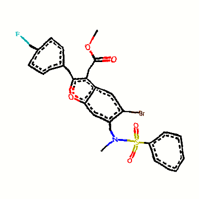 COC(=O)c1c(-c2ccc(F)cc2)oc2cc(N(C)S(=O)(=O)c3ccccc3)c(Br)cc12